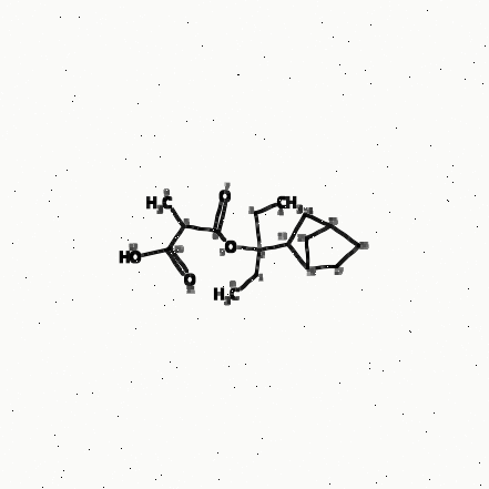 CCC(CC)(OC(=O)C(C)C(=O)O)C1CC2CCC1C2